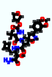 CC(C)(C)[C@H](NC(=O)O[C@H]1CCOC1)C(=O)N1C[C@@]2(CC(c3ccc4c(c3)OCO4)=NO2)C[C@H]1C(=O)N[C@@H](CC1CCC1)C(=O)C(N)=O